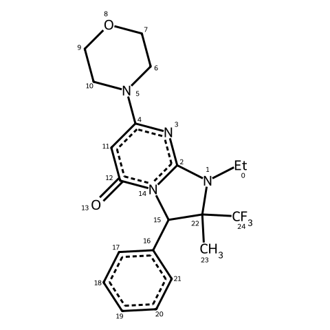 CCN1c2nc(N3CCOCC3)cc(=O)n2C(c2ccccc2)C1(C)C(F)(F)F